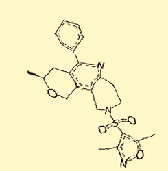 Cc1noc(C)c1S(=O)(=O)N1CCc2nc(-c3ccccc3)c3c(c2C1)CO[C@@H](C)C3